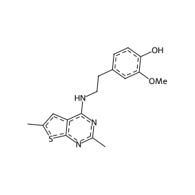 COc1cc(CCNc2nc(C)nc3sc(C)cc23)ccc1O